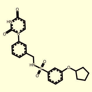 O=c1ccn(-c2cccc(CNS(=O)(=O)c3cccc(OC4CCCC4)c3)c2)c(=O)[nH]1